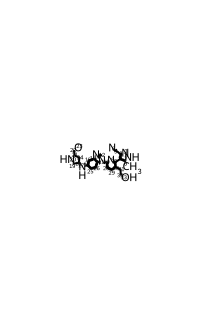 Cc1[nH]nc(C#N)c1-c1nc(-n2cnc3cc(NC4CNC(C=O)C4)ccc32)ccc1CCO